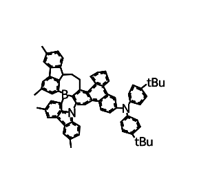 Cc1ccc2c(c1)-c1cc(C)cc3c1C2CCc1c2c(cc4c5ccc(N(c6ccc(C(C)(C)C)cc6)c6ccc(C(C)(C)C)cc6)cc5c5ccccc5c14)-n1c4ccc(C)cc4c4cc(C)cc(c41)B32